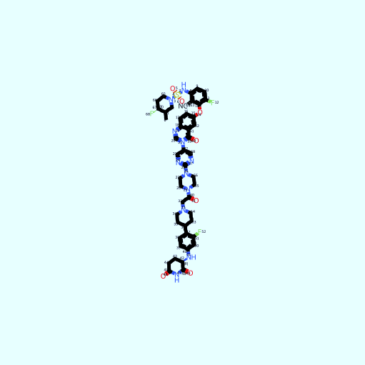 CC1CN(S(=O)(=O)Nc2ccc(F)c(Oc3ccc4ncn(-c5cnc(N6CCN(C(=O)CN7CCC(c8ccc(N[C@@H]9CCC(=O)NC9=O)cc8F)CC7)CC6)nc5)c(=O)c4c3)c2C#N)CC[C@H]1F